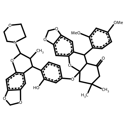 COc1ccc(C2c3cc4c(cc3OC3(Oc5ccc(C6c7cc8c(cc7OC(N7CCOCC7)C6C)OCO8)c(O)c5)CC(C)(C)CC(=O)C23)OCO4)c(OC)c1